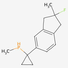 CPC1(c2ccc3c(c2)CC(C)(F)C3)CC1